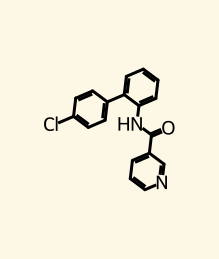 O=C(Nc1ccccc1-c1ccc(Cl)cc1)c1cccnc1